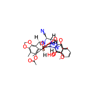 COc1c(C)cc2c(c1O)[C@@H]1N[C@@H](C2)[C@H](C#N)N2C1[C@@H]1SC[C@H](N3C(=O)c4ccccc4C3=O)C(=O)OC[C@H]2c2c3c(c(C)c(OC(C)=O)c21)OCO3